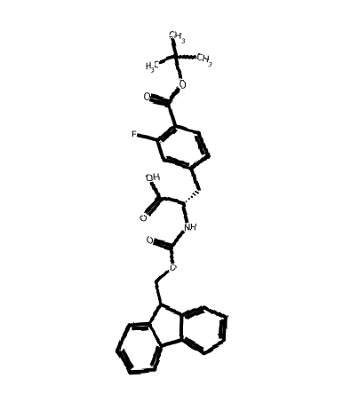 CC(C)(C)OC(=O)c1ccc(C[C@H](NC(=O)OCC2c3ccccc3-c3ccccc32)C(=O)O)cc1F